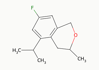 CC1Cc2c(cc(F)cc2C(C)C)CO1